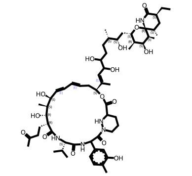 CC[C@H]1C[C@H](C)[C@@]2(NC1=O)O[C@@H](C[C@H](O)[C@@H](C)CCC(O)C(O)/C=C(\C)[C@@H]1C/C=C/C=C/[C@H](O)[C@H](C)[C@@H](O)[C@@H](CCC(C)=O)C(=O)N[C@@H](C(C)C)C(=O)NC(c3ccc(C)c(O)c3)C(=O)N3CCCC(N3)C(=O)O1)[C@H](C)[C@H](O)[C@@H]2C